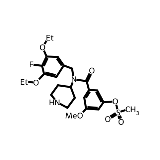 CCOc1cc(CN(C(=O)c2cc(OC)cc(OS(C)(=O)=O)c2)C2CCNCC2)cc(OCC)c1F